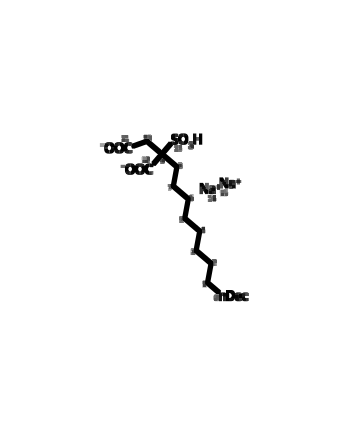 CCCCCCCCCCCCCCCCCCC(CC(=O)[O-])(C(=O)[O-])S(=O)(=O)O.[Na+].[Na+]